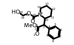 COC(=O)C(c1ccccc1)C1CCCCN1C(=O)OCO